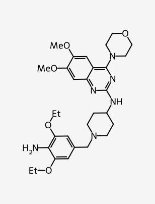 CCOc1cc(CN2CCC(Nc3nc(N4CCOCC4)c4cc(OC)c(OC)cc4n3)CC2)cc(OCC)c1N